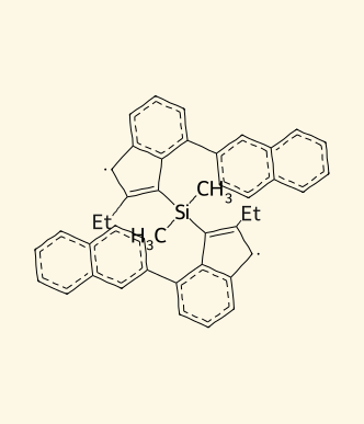 CCC1=C([Si](C)(C)C2=C(CC)[CH]c3cccc(-c4ccc5ccccc5c4)c32)c2c(cccc2-c2ccc3ccccc3c2)[CH]1